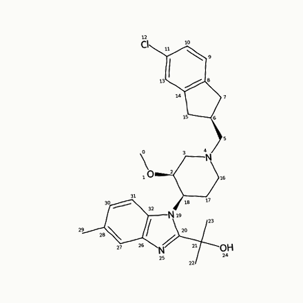 CO[C@H]1CN(C[C@@H]2Cc3ccc(Cl)cc3C2)CC[C@H]1n1c(C(C)(C)O)nc2cc(C)ccc21